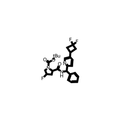 CC(C)(C)OC(=O)N1CC(F)CC1C(=O)NC(c1ccccc1)c1ccc(C2CC(F)(F)C2)cn1